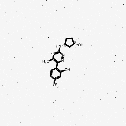 Cc1nc(N[C@@H]2CC[C@H](O)C2)nnc1-c1ccc(C(F)(F)F)cc1O